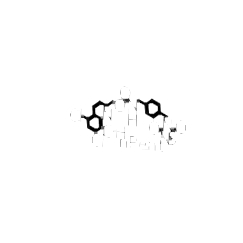 CCCCCn1sc(=O)n(Cc2ccc(CNC(=O)OCc3ccc4c(Cl)cc(Cl)c(O)c4n3)cc2)c1=O